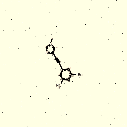 Cn1cnc(C#Cc2cc(C#N)cc(C(C)(C)C)c2)c1